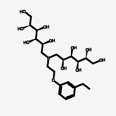 CCc1cccc(OCCN(C[C@H](O)[C@@H](O)[C@H](O)[C@H](O)CO)C[C@H](O)[C@@H](O)[C@H](O)[C@H](O)CO)c1